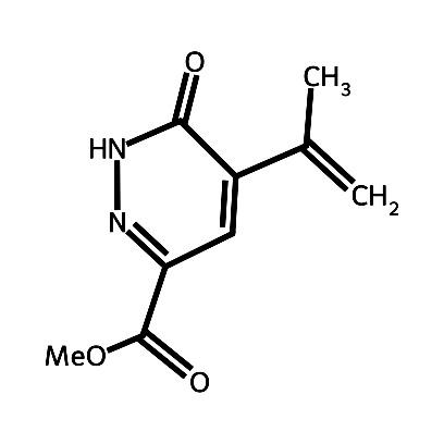 C=C(C)c1cc(C(=O)OC)n[nH]c1=O